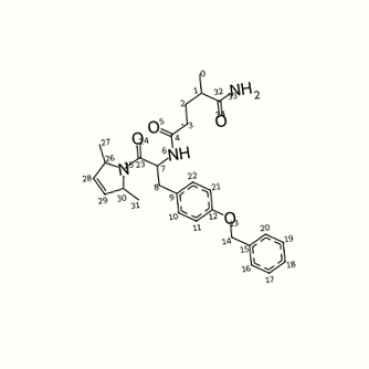 CC(C[CH]C(=O)NC(Cc1ccc(OCc2ccccc2)cc1)C(=O)N1C(C)C=CC1C)C(N)=O